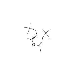 CC(=CCC(C)(C)C)OC(C)=CCC(C)(C)C